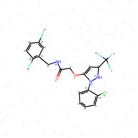 O=C(COC1=CC(C(F)(F)F)NN1c1ccccc1Cl)NCc1cc(F)ccc1F